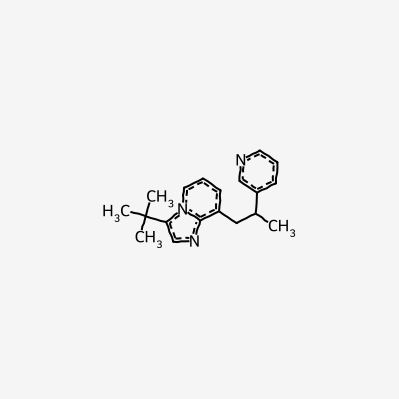 CC(Cc1cccn2c(C(C)(C)C)cnc12)c1cccnc1